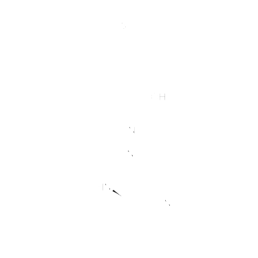 Cc1cc(-c2ccc3sccc3c2O)nnc1N[C@@H]1CCCN(C)C1